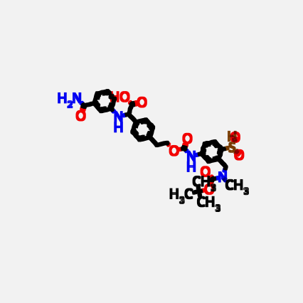 CN(Cc1cc(NC(=O)OCCc2ccc(C(Nc3cccc(C(N)=O)c3)C(=O)O)cc2)ccc1[SH](=O)=O)C(=O)OC(C)(C)C